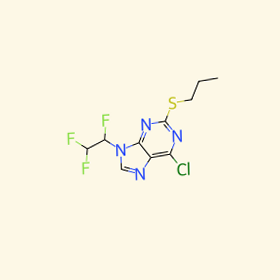 CCCSc1nc(Cl)c2ncn(C(F)C(F)F)c2n1